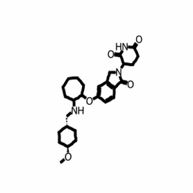 CO[C@H]1CC[C@H](CNC2CCCCCC2Oc2ccc3c(c2)CN(C2CCC(=O)NC2=O)C3=O)CC1